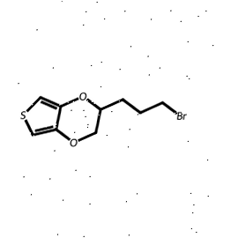 BrCCCC1COc2cscc2O1